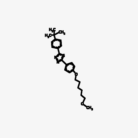 COCCCCCCOc1ccc(-c2nnc(-c3ccc(C(C)(C)C)cc3)s2)cc1